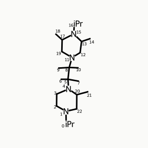 CC(C)N1CCN(C(C)(C)C(C)(C)N2CC(C)N(C(C)C)C(C)C2)C(C)C1